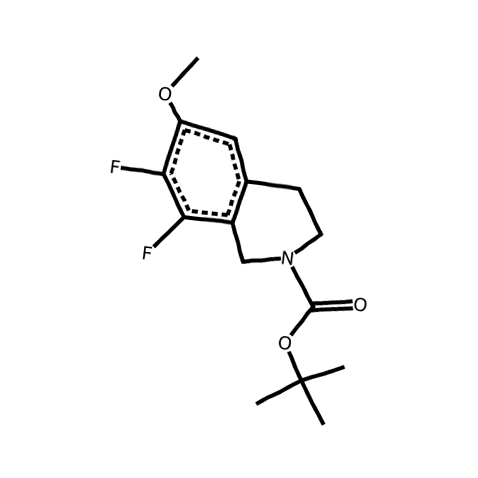 COc1cc2c(c(F)c1F)CN(C(=O)OC(C)(C)C)CC2